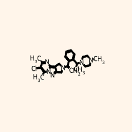 C=C(c1ccccc1C(C)N1CCN(C)CC1)N1Cc2nn3c(C)c(Cl)c(C)nc3c2C1